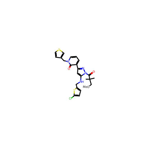 COCC(C)(C)C(=O)n1nc(-c2cccn(Cc3ccsc3)c2=O)cc1NCc1ccc(Cl)s1